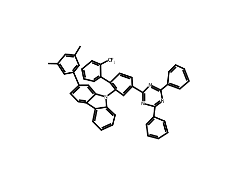 Cc1cc(C)cc(-c2ccc3c4ccccc4n(-c4cc(-c5nc(-c6ccccc6)nc(-c6ccccc6)n5)ccc4-c4ccccc4C(F)(F)F)c3c2)c1